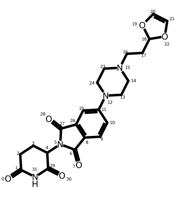 O=C1CCC(N2C(=O)c3ccc(N4CCN(CCC5OC=CO5)CC4)cc3C2=O)C(=O)N1